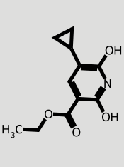 CCOC(=O)c1cc(C2CC2)c(O)nc1O